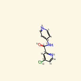 O=C(Nc1ccncc1)c1cc(Cl)ccn1